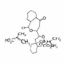 C=C(C)C(=O)O.C=C(C)C(=O)OC(CC1(C(=O)O)CCCCC1C(=O)O)C1CC(=O)C2CCCCC2C(=O)O1